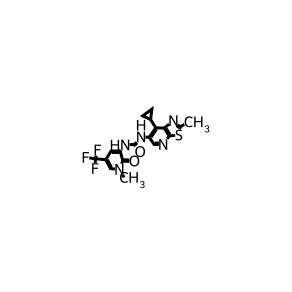 Cc1nc2c(C3CC3)c(NC(=O)Nc3cc(C(F)(F)F)cn(C)c3=O)cnc2s1